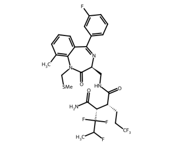 CSCN1C(=O)[C@H](CNC(=O)[C@H](CCC(F)(F)F)[C@@H](C(N)=O)C(F)(F)C(C)F)N=C(c2cccc(F)c2)c2cccc(C)c21